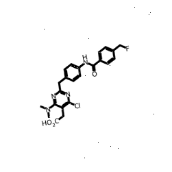 CN(C)c1nc(Cc2ccc(NC(=O)c3ccc(CF)cc3)cc2)nc(Cl)c1CC(=O)O